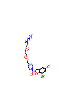 [N-]=[N+]=NCCOCCOCCN1CCN(C(=O)[C@H]2Cc3cc(Cl)cc(Br)c3O2)CC1